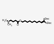 CCCCCCCCCCC(=CCCCCCCCCOC(=O)CCCN(C)C)CCCCCCCCCC